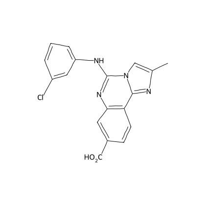 Cc1cn2c(Nc3cccc(Cl)c3)nc3cc(C(=O)O)ccc3c2n1